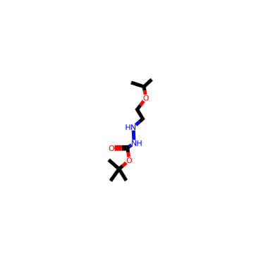 CC(C)OCCNNC(=O)OC(C)(C)C